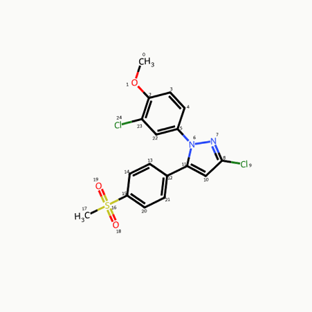 COc1ccc(-n2nc(Cl)cc2-c2ccc(S(C)(=O)=O)cc2)cc1Cl